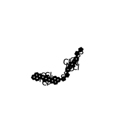 Clc1c2c(c(Cl)c3c1=Nc1ccc(-c4ccc(-c5cccs5)s4)cc1O3)=Nc1ccc(-c3ccc(-c4ccc(-c5cc6ccc7cc8oc9c(Cl)c%10nc%11c(cc%12ccc%13cccc%14ccc%11c%12c%13%14)oc%10c(Cl)c9nc8c8ccc(c5)c6c78)s4)s3)cc1O2